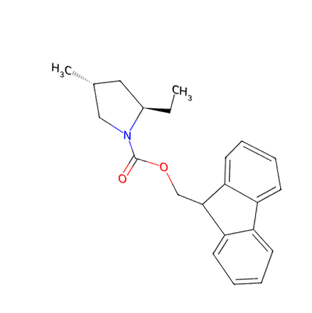 CC[C@@H]1C[C@@H](C)CN1C(=O)OCC1c2ccccc2-c2ccccc21